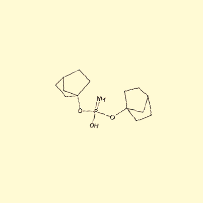 N=P(O)(OC12CCC(CC1)C2)OC12CCC(CC1)C2